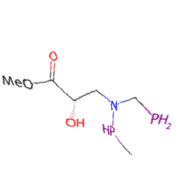 COC(=O)[C@@H](O)CN(CP)PC